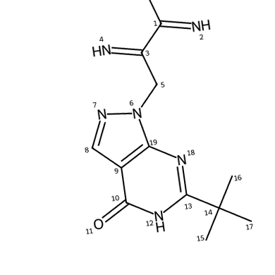 CC(=N)C(=N)Cn1ncc2c(=O)[nH]c(C(C)(C)C)nc21